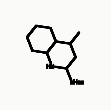 CCCCCCC1CC(C)C2CCCCC2N1